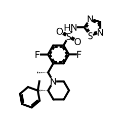 C[C@H](c1cc(F)c(S(=O)(=O)Nc2ncns2)cc1F)N1CCCC[C@@H]1C1(C)C=CC=CC1